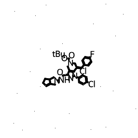 CC(C)(C)OC(=O)N1CC(=Cc2ccc(F)cc2)c2c(c(C(=O)NN3CC4=CCCC4C3)nn2-c2ccc(Cl)cc2Cl)C1